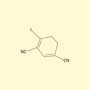 N#CC1=CC(C#N)=C(I)CC1